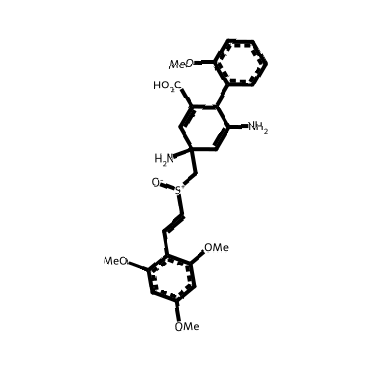 COc1cc(OC)c(/C=C/[S+]([O-])CC2(N)C=C(N)C(c3ccccc3OC)C(C(=O)O)=C2)c(OC)c1